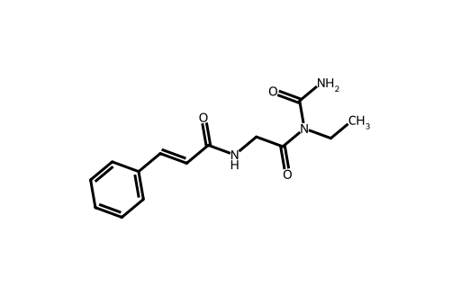 CCN(C(N)=O)C(=O)CNC(=O)C=Cc1ccccc1